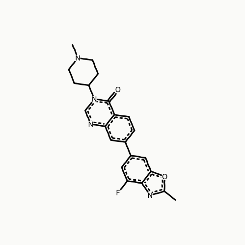 Cc1nc2c(F)cc(-c3ccc4c(=O)n(C5CCN(C)CC5)cnc4c3)cc2o1